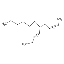 C/C=C\CC(/C=N/CC)CCCCCC